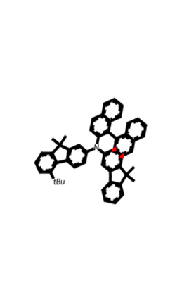 CC(C)(C)c1cccc2c1-c1ccc(N(c3ccc4c(c3)-c3ccccc3C4(C)C)c3ccc4ccccc4c3-c3cccc4ccccc34)cc1C2(C)C